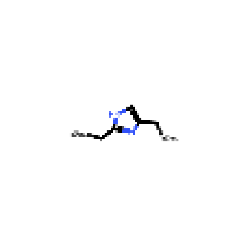 CCCCCCCCCCCc1c[nH]c(CCCCCCCCCCC)n1